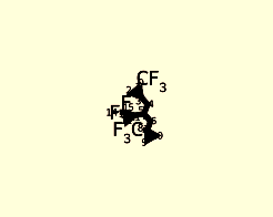 FC(F)(F)C1CC1C[C](CC1(C(F)(F)F)CC1)C1CC1(F)F